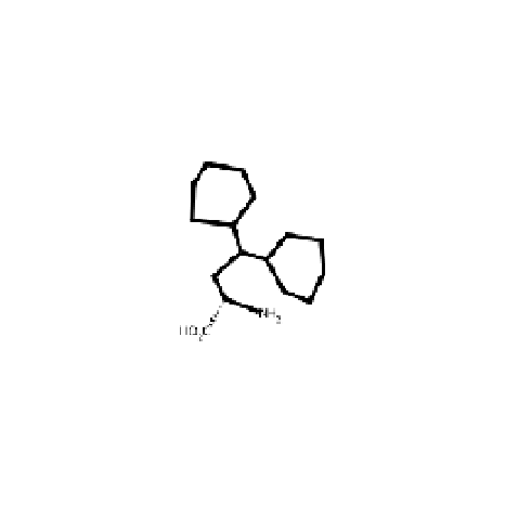 N[C@@H](CC(C1CCCCC1)C1CCCCC1)C(=O)O